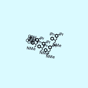 CNCCC(Cc1cc(C(C)C)cc(C(C)C)c1)c1ccccc1.CNCCC(Cc1cc(C(C)C)cc(C(C)C)c1)c1ccccc1.CNCCC(Cc1cc(C(C)C)cc(C(C)C)c1)c1ccccc1.CNCCC(Cc1cc(C(C)C)cc(C(C)C)c1)c1ccccc1.O=P(O)(O)OP(=O)(O)O